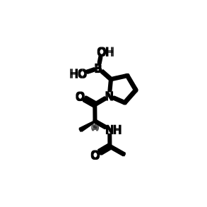 CC(=O)N[C@@H](C)C(=O)N1CCCC1B(O)O